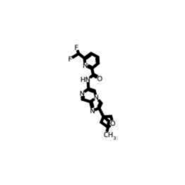 CC12CC(c3cn4cc(NC(=O)c5cccc(C(F)F)n5)ncc4n3)(CO1)C2